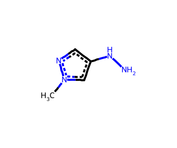 Cn1cc(NN)cn1